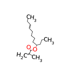 C=C(C)C(=O)OC(CCC)CCCCC=CCC